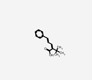 CC(C)(C)C(=CC=Cc1ccccc1)C(=O)O